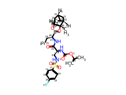 C=C(C)OC(=O)N[C@@H](CNS(=O)(=O)c1ccc(F)cc1)C(=O)N[C@@H](CC(C)C)B1O[C@@H]2C[C@@H]3C[C@@H](C3(C)C)[C@]2(C)O1